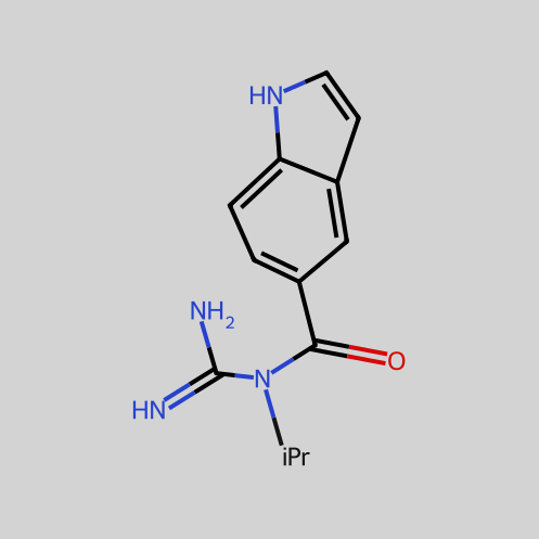 CC(C)N(C(=N)N)C(=O)c1ccc2[nH]ccc2c1